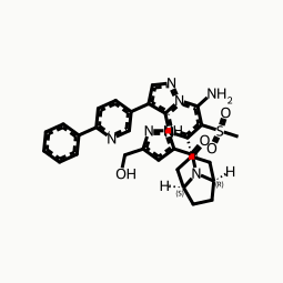 CS(=O)(=O)c1c([C@@H]2C[C@H]3CC[C@@H](C2)N3C(=O)c2cc(CO)n[nH]2)nc2c(-c3ccc(-c4ccccc4)nc3)cnn2c1N